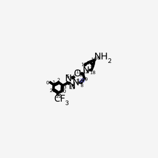 Cc1cc(-c2ncn(/C=C\C(=O)N3CC4C(N)C4C3)n2)cc(C(F)(F)F)c1